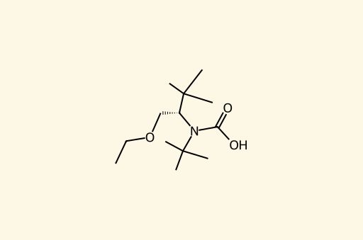 CCOC[C@@H](N(C(=O)O)C(C)(C)C)C(C)(C)C